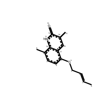 C/C=C/COc1ccc(C)c2[nH]c(=O)c(C)cc12